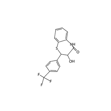 O=C1Nc2ccccc2SC(c2ccc(C(F)(F)F)cc2)C1O